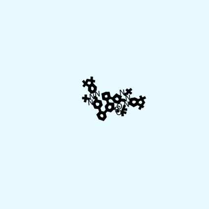 CC(C)(C)c1nc2cc(-c3ccccc3-c3cc(B4OC(C)(C)C(C)(C)O4)cc(-c4ccccc4-c4ccc5c(c4)nc(C(C)(C)C)n4c6cc7c(cc6nc54)C(C)(C)CC7(C)C)c3)ccc2c2nc3cc4c(cc3n12)C(C)(C)CC4(C)C